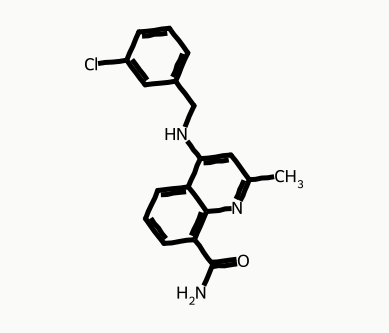 Cc1cc(NCc2cccc(Cl)c2)c2cccc(C(N)=O)c2n1